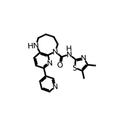 Cc1nc(NC(=O)N2CCCCNc3ccc(-c4cccnc4)nc32)sc1C